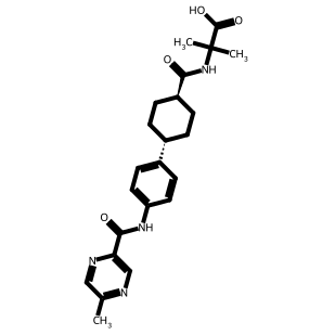 Cc1cnc(C(=O)Nc2ccc([C@H]3CC[C@H](C(=O)NC(C)(C)C(=O)O)CC3)cc2)cn1